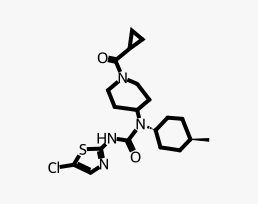 C[C@H]1CC[C@H](N(C(=O)Nc2ncc(Cl)s2)C2CCN(C(=O)C3CC3)CC2)CC1